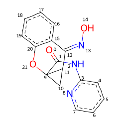 O=C(Nc1ccccn1)C12CC1/C(=N/O)c1ccccc1O2